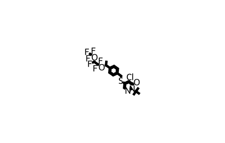 CC(OC(F)(F)C(F)OC(F)(F)F)c1ccc(CSc2cnn(C(C)(C)C)c(=O)c2Cl)cc1